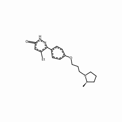 CCc1cc(=O)[nH]nc1-c1ccc(OCCCN2CCC[C@H]2C)cc1